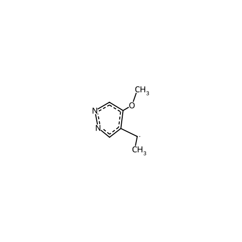 C[CH]c1cnncc1OC